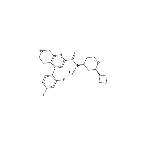 CN(C(=O)c1cc(-c2ccc(F)cc2F)c2c(n1)CNCC2)[C@H]1CCO[C@@H](C2CCC2)C1